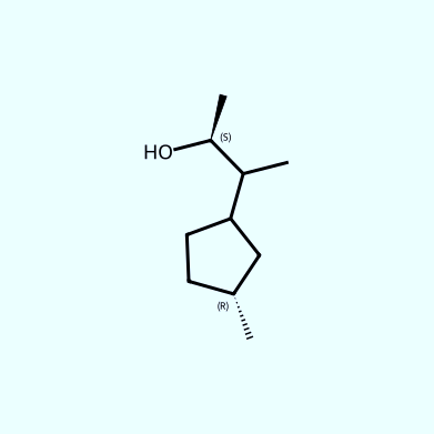 CC(C1CC[C@@H](C)C1)[C@H](C)O